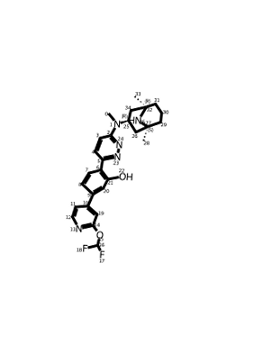 CN(c1ccc(-c2ccc(-c3ccnc(OC(F)F)c3)cc2O)nn1)[C@@H]1C[C@]2(C)CCC[C@](C)(C1)N2